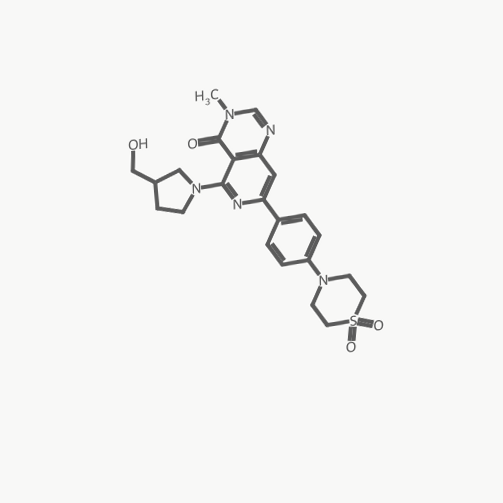 Cn1cnc2cc(-c3ccc(N4CCS(=O)(=O)CC4)cc3)nc(N3CCC(CO)C3)c2c1=O